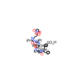 CC[C@H](C)[C@@H]([C@@H](CC(=O)N1CCC[C@H]1[C@H](OC)[C@@H](C)C(=O)N[C@H](CCc1ccc(S(=O)(=O)O)cc1)Cc1ccccc1)OC)N(C)[C@H](C(=O)NC(=O)[C@H](C(C)C)N(C)CCCC(=O)ON1C(=O)CCC1=O)C(C)C